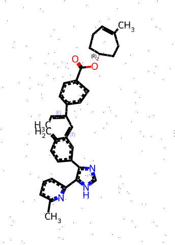 C=c1ccc(-c2nc[nH]c2-c2cccc(C)n2)c/c1=C/C(=C\C)c1ccc(C(=O)O[C@@H]2CCC=C(C)CC2)cc1